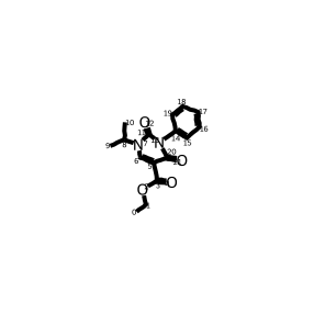 CCOC(=O)c1cn(C(C)C)c(=O)n(-c2ccccc2)c1=O